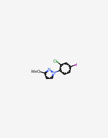 [CH2]Oc1ccn(-c2ccc(I)cc2Cl)n1